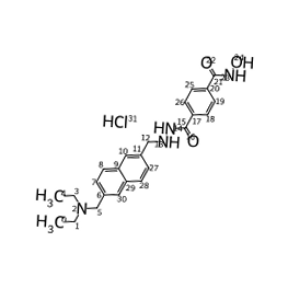 CCN(CC)Cc1ccc2cc(CNNC(=O)c3ccc(C(=O)NO)cc3)ccc2c1.Cl